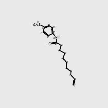 C=CCCCCCCCCC(=O)Nc1ccc(CCCCCCCC)cc1